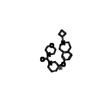 O=C(N1CCOCC1)N1CCC[C@H](Oc2ccc3c(c2)CCN(C2CCC2)CC3)C1